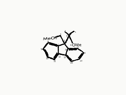 COCC1(C(C)(C)OC)c2ccccc2-c2ccccc21